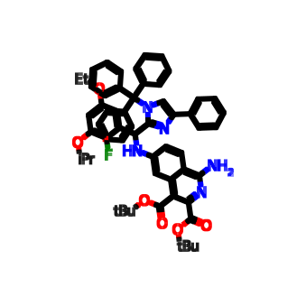 CCOc1cc(OC(C)C)c(F)c(C(Nc2ccc3c(N)nc(C(=O)OC(C)(C)C)c(C(=O)OC(C)(C)C)c3c2)c2nc(-c3ccccc3)cn2C(c2ccccc2)(c2ccccc2)c2ccccc2)c1